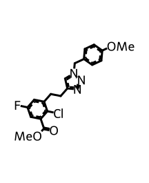 COC(=O)c1cc(F)cc(CCc2cn(Cc3ccc(OC)cc3)nn2)c1Cl